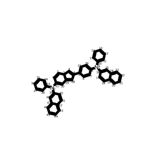 C1=CC2C=C(c3ccc(N(c4ccccc4)c4ccc5ccccc5c4)cc3)C=C2C=C1N(c1ccccc1)c1ccc2ccccc2c1